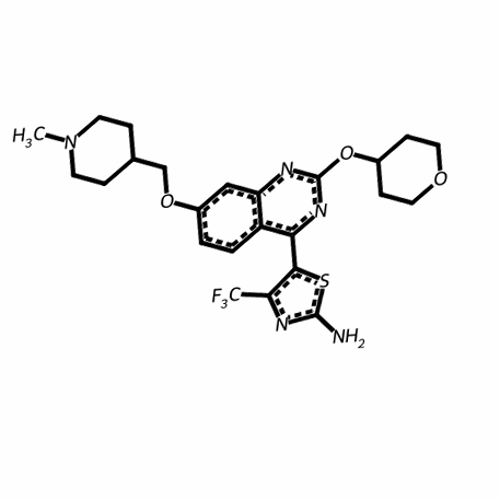 CN1CCC(COc2ccc3c(-c4sc(N)nc4C(F)(F)F)nc(OC4CCOCC4)nc3c2)CC1